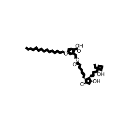 CCCCCCCCCCCCCCCOc1ccc(C(=O)O)c(CCOC(=O)CCCC=CC[C@@H]2[C@@H](C=CC[C@H](O)C3(CC)CCC3)[C@H](O)C[C@H]2Cl)c1